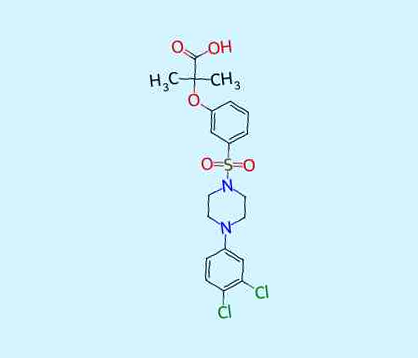 CC(C)(Oc1cccc(S(=O)(=O)N2CCN(c3ccc(Cl)c(Cl)c3)CC2)c1)C(=O)O